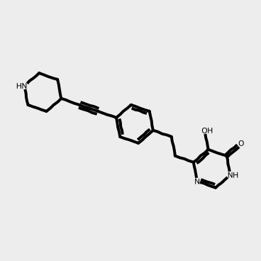 O=c1[nH]cnc(CCc2ccc(C#CC3CCNCC3)cc2)c1O